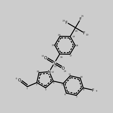 O=Cc1cc(-c2ccc(F)cc2)n(S(=O)(=O)c2ccc(C(F)(F)F)cc2)c1